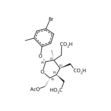 CC(=O)OC[C@@H]1O[C@H](Oc2ccc(Br)cc2C)[C@@](C)(CC(=O)O)[C@@H](CC(=O)O)[C@H]1CC(=O)O